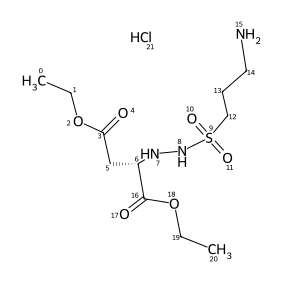 CCOC(=O)C[C@H](NNS(=O)(=O)CCCN)C(=O)OCC.Cl